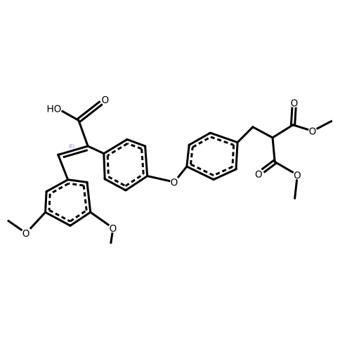 COC(=O)C(Cc1ccc(Oc2ccc(/C(=C\c3cc(OC)cc(OC)c3)C(=O)O)cc2)cc1)C(=O)OC